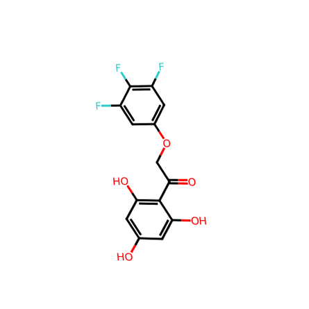 O=C(COc1cc(F)c(F)c(F)c1)c1c(O)cc(O)cc1O